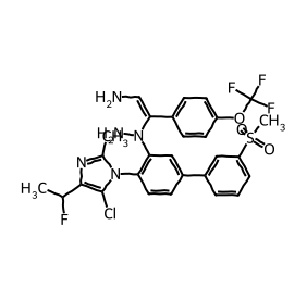 Cc1nc(C(C)F)c(Cl)n1-c1ccc(-c2cccc(S(C)(=O)=O)c2)cc1N(N)/C(=C\N)c1ccc(OC(F)(F)F)cc1